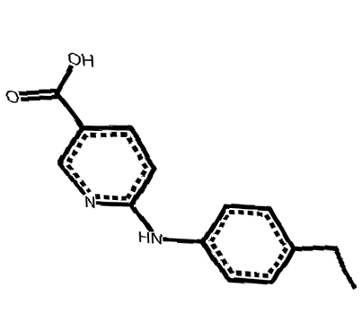 CCc1ccc(Nc2ccc(C(=O)O)cn2)cc1